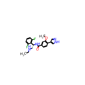 CCNC[C@@H](NC(=O)c1ccc(-c2cn[nH]c2)c(OC)c1)c1c(F)cccc1F